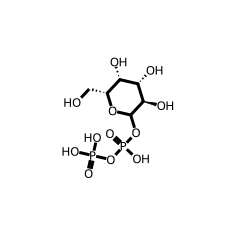 O=P(O)(O)OP(=O)(O)OC1O[C@H](CO)[C@H](O)[C@H](O)[C@H]1O